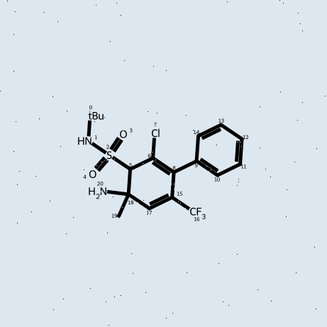 CC(C)(C)NS(=O)(=O)C1C(Cl)=C(c2ccccc2)C(C(F)(F)F)=CC1(C)N